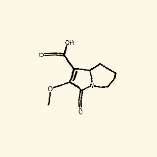 COC1=C(C(=O)O)C2CCCN2C1=O